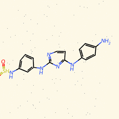 Nc1ccc(Nc2ccnc(Nc3cccc(N[SH](=O)=O)c3)n2)cc1